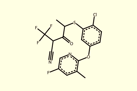 Cc1cc(F)cnc1Oc1ccc(Cl)c(SC(C)C(=O)C(C#N)C(F)(F)F)c1